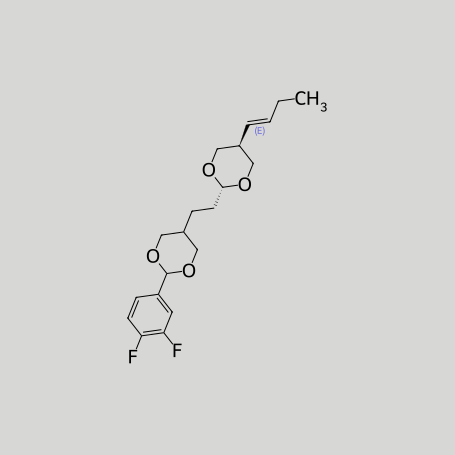 CC/C=C/[C@H]1CO[C@H](CCC2COC(c3ccc(F)c(F)c3)OC2)OC1